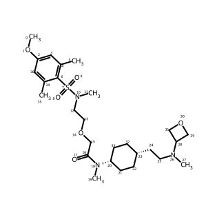 COc1cc(C)c(S(=O)(=O)N(C)CCOCC(=O)N(C)[C@H]2CC[C@@H](CCN(C)C3COC3)CC2)c(C)c1